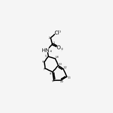 O=C(CCl)NC1CCc2ccccc2C1